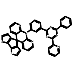 c1ccc(-c2nc(-c3cccc(N4c5ncccc5C5(c6cccnc64)c4ccsc4-c4sccc45)c3)nc(-c3ccccn3)n2)cc1